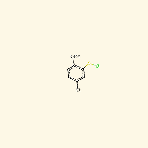 CCc1ccc(OC)c(SCl)c1